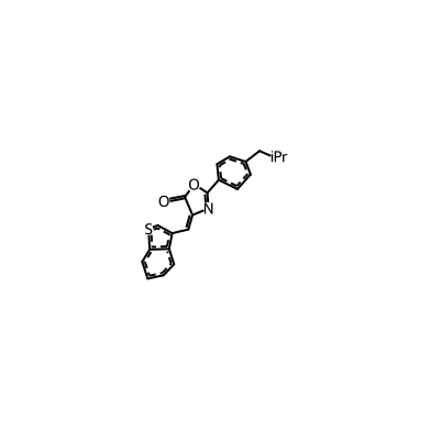 CC(C)Cc1ccc(C2=N/C(=C/c3csc4ccccc34)C(=O)O2)cc1